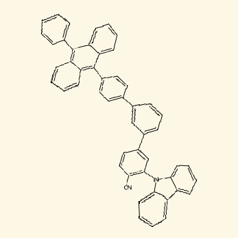 N#Cc1ccc(-c2cccc(-c3ccc(-c4c5ccccc5c(-c5ccccc5)c5ccccc45)cc3)c2)cc1-n1c2ccccc2c2ccccc21